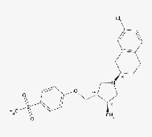 C[C@@H]1CN([C@@H]2CCc3ccc(Cl)cc3C2)C[C@H]1COc1ccc(S(C)(=O)=O)cc1